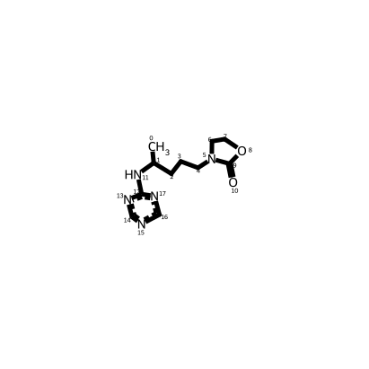 CC(CCCN1CCOC1=O)Nc1ncncn1